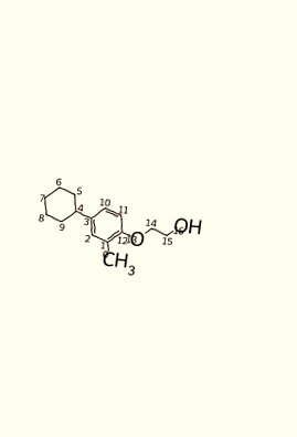 Cc1cc(C2CCCCC2)ccc1OCCO